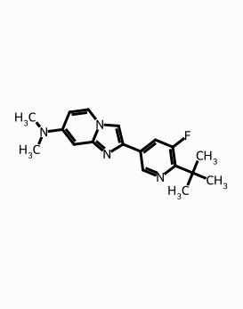 CN(C)c1ccn2cc(-c3cnc(C(C)(C)C)c(F)c3)nc2c1